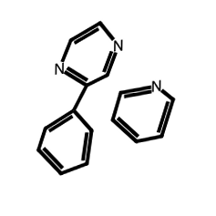 c1ccc(-c2cnccn2)cc1.c1ccncc1